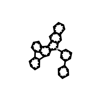 c1ccc(-c2cccc(-n3c4cc5ccccc5cc4c4c5cccc6c5c(cc43)-c3ccccc3-6)c2)cc1